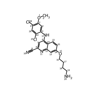 COc1cc(Nc2cc(C#N)nc3cc(OCCCCN)ccc23)c(Cl)cc1Cl